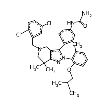 Cc1cccc(OCC(C)C)c1-n1nc2c(c1-c1ccc(NC(N)=O)cc1)CN(Cc1cc(Cl)ccc1Cl)CC2(C)C